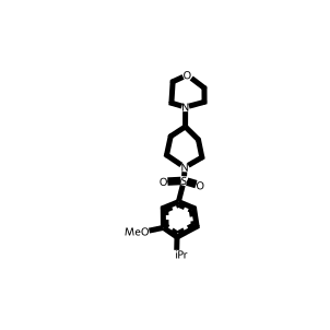 COc1cc(S(=O)(=O)N2CCC(N3CCOCC3)CC2)ccc1C(C)C